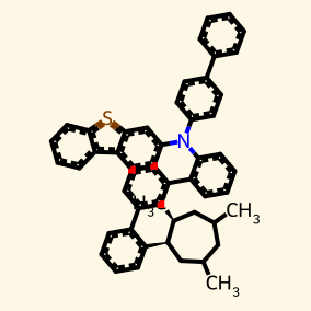 CC1CC(C)C[C@@H](c2ccccc2-c2cccc(-c3ccccc3N(c3ccc(-c4ccccc4)cc3)c3ccc4c(c3)sc3ccccc34)c2)[C@@H](C)C1